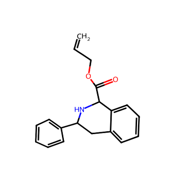 C=CCOC(=O)C1NC(c2ccccc2)Cc2ccccc21